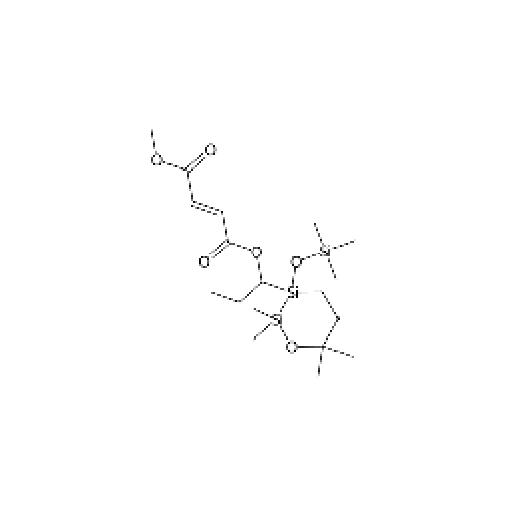 CCC(OC(=O)C=CC(=O)OC)[Si]1(O[Si](C)(C)C)CCC(C)(C)O[Si]1(C)C